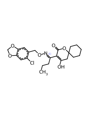 CCC/C(=N\OCc1cc2c(cc1Cl)OCO2)C1=C(O)CC2(CCCCC2)OC1=O